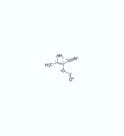 CC(N)=C(C#N)OC=O